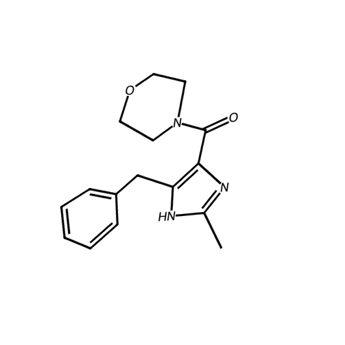 Cc1nc(C(=O)N2CCOCC2)c(Cc2ccccc2)[nH]1